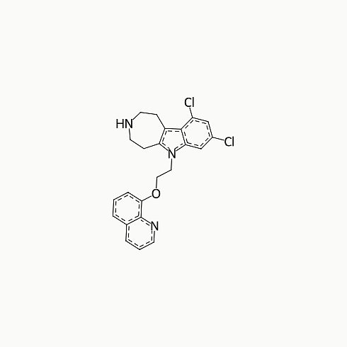 Clc1cc(Cl)c2c3c(n(CCOc4cccc5cccnc45)c2c1)CCNCC3